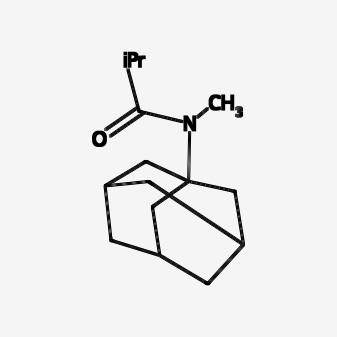 CC(C)C(=O)N(C)C12CC3CC(CC(C3)C1)C2